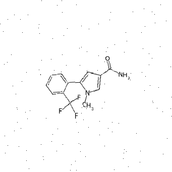 Cn1cc(C(N)=O)cc1-c1ccccc1C(F)(F)F